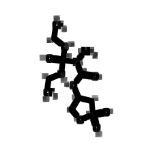 NN(C(=O)OC1COS(=O)(=O)C1)P(=O)(OCC(F)(F)F)OCC(F)(F)F